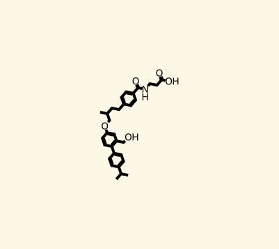 CC(CCc1ccc(C(=O)NCCC(=O)O)cc1)COc1ccc(-c2ccc(C(C)C)cc2)c(CO)c1